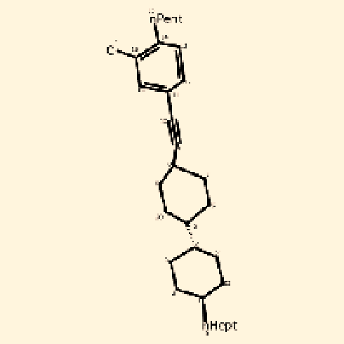 CCCCCCC[C@H]1CC[C@H](C2CCC(C#Cc3ccc(CCCCC)c(Cl)c3)CC2)CC1